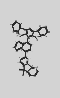 CC1(C)c2cccnc2-c2nc(-c3ccc(-c4c5oc6ccccc6c5cc5c4oc4ccccc45)c4ccccc34)ccc21